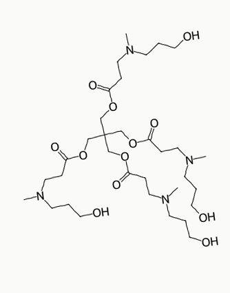 CN(CCCO)CCC(=O)OCC(COC(=O)CCN(C)CCCO)(COC(=O)CCN(C)CCCO)COC(=O)CCN(C)CCCO